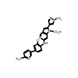 Cc1ccc(-c2ccc(Nc3cc4c(cn3)cc(-c3cnn(C)c3)n4C(=O)O)c(Cl)c2)cn1